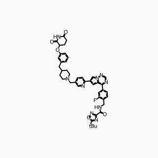 CC(C)(C)c1nc(C(=O)NCc2ccc(-c3ncnn4cc(-c5ccc(CN6CCC(Cc7cccc(OC8CCC(=O)NC8=O)c7)CC6)cn5)cc34)cc2F)no1